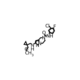 COCC1(CNc2cc3n(n2)CCN(C(=O)Nc2ccc(F)c(Cl)c2)C3)CC1